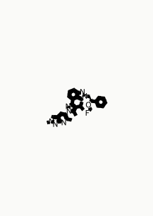 Cc1nc2nn(C)cc2cc1-n1nc(-c2cccc3nn(C[C@H](OCF)c4ccccc4)cc23)c(C(C)C)c1C